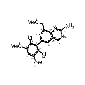 COCc1nc(-c2c(Cl)c(OC)cc(OC)c2Cl)cc2cnc(N)nc12